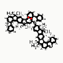 CC1(C)c2cc(N(c3ccc4c(c3)C(C)(C)c3cc5c(cc3-4)C(C)(C)c3ccc4oc6ccccc6c4c3-5)c3ccccc3-c3ccccc3)ccc2-c2cc3c(cc21)-c1c(ccc2oc4ccccc4c12)C3(C)C